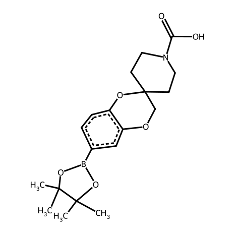 CC1(C)OB(c2ccc3c(c2)OCC2(CCN(C(=O)O)CC2)O3)OC1(C)C